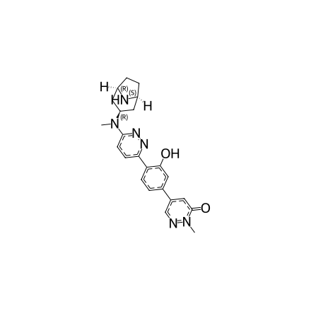 CN(c1ccc(-c2ccc(-c3cnn(C)c(=O)c3)cc2O)nn1)[C@H]1C[C@H]2CC[C@@H](C1)N2